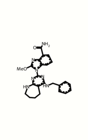 COc1nc2c(C(N)=O)cccc2n1-c1nc2c(c(NCc3ccccc3)n1)CCCCN2